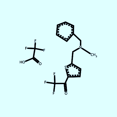 CN(Cc1ccccc1)Cc1ccc(C(=O)C(F)(F)F)s1.O=C(O)C(F)(F)F